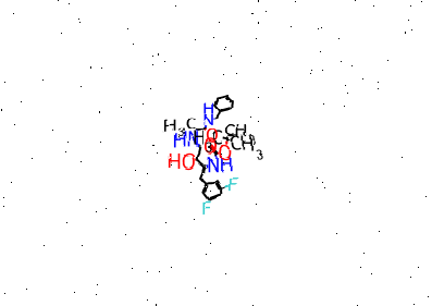 CC(NCC(O)C(Cc1cc(F)cc(F)c1)NC(=O)OC(C)(C)C)C(=O)NCc1ccccc1